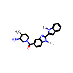 CCn1c(-c2nc3cc(C(=O)N4CC[C@H](C)C(N)C4)ccc3n2C)cc2ccccc21